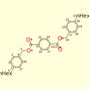 CCCCCCc1ccc(COC(=O)c2ccc(C(=O)OCc3ccc(CCCCCC)cc3)cc2)cc1